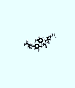 CN1CC2(C1)CN(C(=S)N(Cc1ccc(-c3nnc(C(F)F)o3)cc1F)c1cccc(F)c1)C2